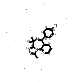 Cc1nnc2n1-c1ncccc1C(c1ccc(Cl)cc1)=NC2(C)C